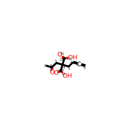 C=C=CCC(CC(C)=O)(C(=O)O)C(=O)O